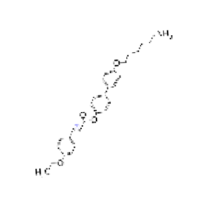 CCOc1ccc(/C=C/C(=O)Oc2ccc(-c3ccc(OCCCCCCN)cc3)cc2)cc1